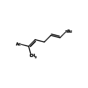 CCCCC=CCC=C(C)C(C)=O